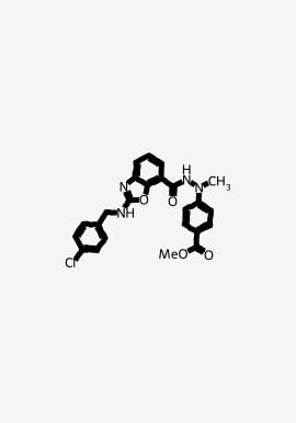 COC(=O)c1ccc(N(C)NC(=O)c2cccc3nc(NCc4ccc(Cl)cc4)oc23)cc1